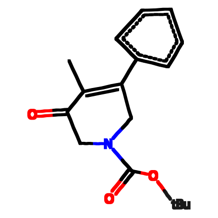 CC1=C(c2ccccc2)CN(C(=O)OC(C)(C)C)CC1=O